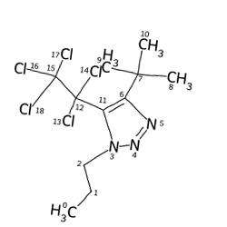 CCCn1nnc(C(C)(C)C)c1C(Cl)(Cl)C(Cl)(Cl)Cl